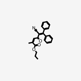 CCCOC(=O)C(C)=CC(=O)C(C#N)=C(c1ccccc1)c1ccccc1